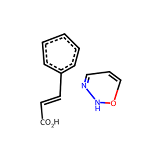 C1=CONN=C1.O=C(O)C=Cc1ccccc1